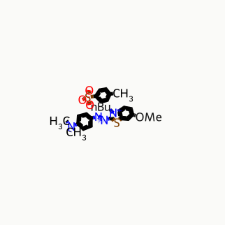 CCCC[n+]1c(/N=N/c2ccc(N(C)C)cc2)sc2cc(OC)ccc21.Cc1ccc(S(=O)(=O)[O-])cc1